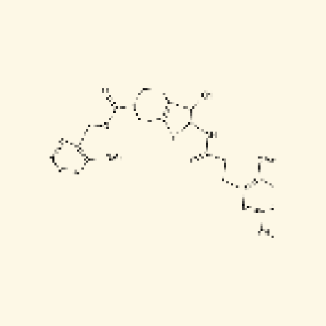 COc1ccc(C)cc1CCC(=O)Nc1sc2c(c1C#N)CCN(C(=O)OCc1cnccc1OC)C2